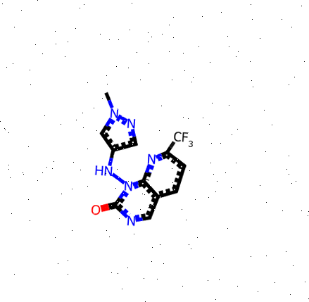 Cn1cc(Nn2c(=O)ncc3ccc(C(F)(F)F)nc32)cn1